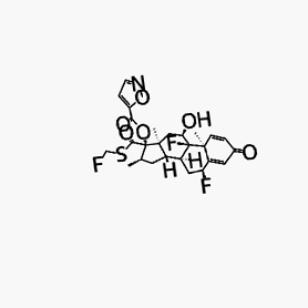 C[C@@H]1C[C@H]2[C@@H]3C[C@H](F)C4=CC(=O)C=C[C@]4(C)[C@@]3(F)[C@H](O)C[C@]2(C)[C@@]1(OC(=O)c1ccno1)C(=O)SCF